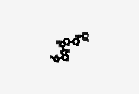 CC(C)Nc1cncc(-c2ccc3[nH]nc(-c4nc5c(-c6ccc(F)s6)cncc5[nH]4)c3n2)c1